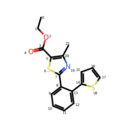 CCOC(=O)c1sc(-c2ccccc2-c2cccs2)nc1C